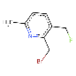 Cc1ccc(CF)c(CBr)n1